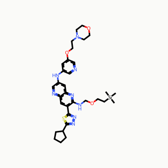 C[Si](C)(C)CCOCNc1nc2cc(Nc3cncc(OCCN4CCOCC4)c3)cnc2cc1-c1nnc(C2CCCC2)s1